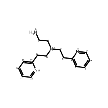 NCCN(CCc1ccccn1)CCc1ccccn1